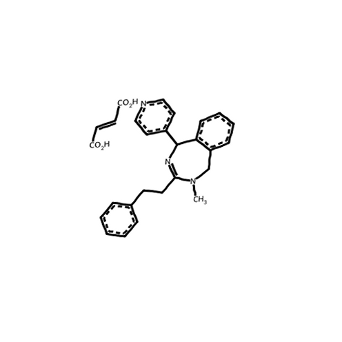 CN1Cc2ccccc2C(c2ccncc2)N=C1CCc1ccccc1.O=C(O)/C=C/C(=O)O